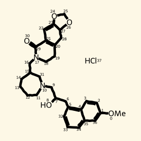 COc1ccc2c(CC(O)CN3CCCCC(CN4CCC5=C(C=C6OCOC6C5)C4=O)C3)cccc2c1.Cl